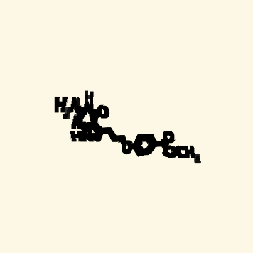 COC(=O)c1ccc(OCCCc2c[nH]c3nc(N)[nH]c(=O)c23)cc1